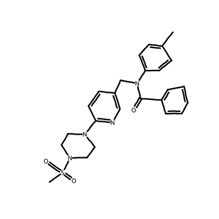 Cc1ccc(N(Cc2ccc(N3CCN(S(C)(=O)=O)CC3)nc2)C(=O)c2ccccc2)cc1